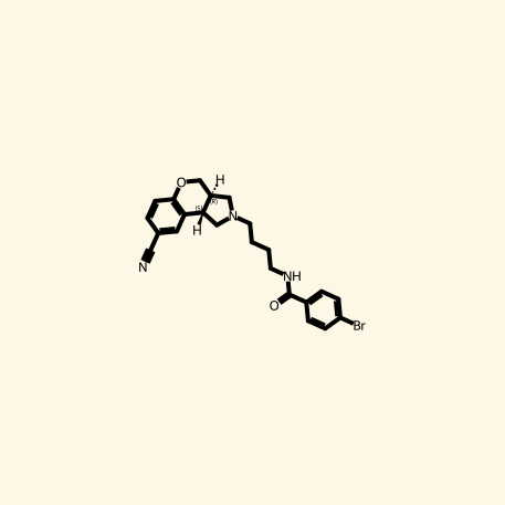 N#Cc1ccc2c(c1)[C@H]1CN(CCCCNC(=O)c3ccc(Br)cc3)C[C@@H]1CO2